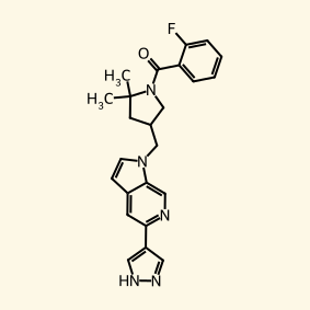 CC1(C)CC(Cn2ccc3cc(-c4cn[nH]c4)ncc32)CN1C(=O)c1ccccc1F